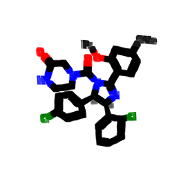 COc1ccc(C2=N[C@@H](c3ccccc3Cl)[C@@H](c3ccc(Cl)cc3)N2C(=O)N2CCNC(=O)C2)c(OC(C)C)c1